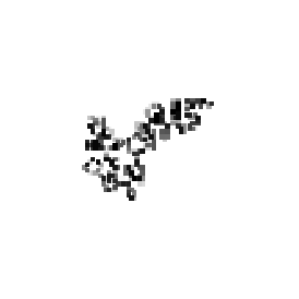 COC(=O)NC(C(=O)N1CCCC1c1nc2ccc(-c3csc(C(=O)c4cnc(C5CCCN5C(=O)C(NC(=O)CO)C(C)C)[nH]4)n3)cc2[nH]1)C(C)C